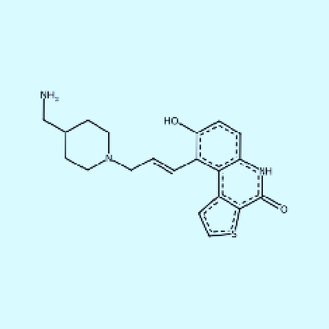 NCC1CCN(C/C=C/c2c(O)ccc3[nH]c(=O)c4sccc4c23)CC1